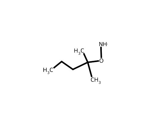 CCCC(C)(C)O[NH]